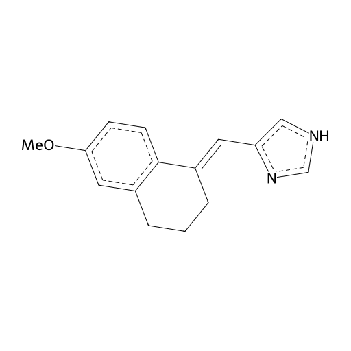 COc1ccc2c(c1)CCC/C2=C\c1c[nH]cn1